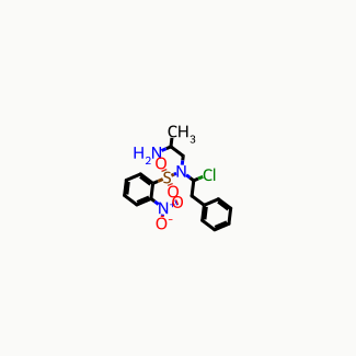 CC(N)CN(C(Cl)Cc1ccccc1)S(=O)(=O)c1ccccc1[N+](=O)[O-]